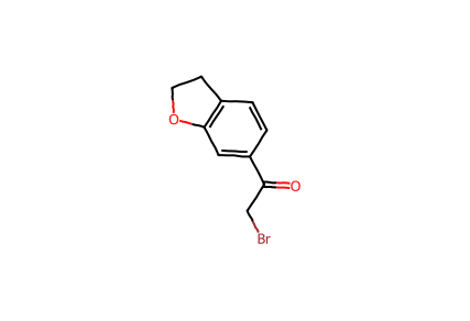 O=C(CBr)c1ccc2c(c1)OCC2